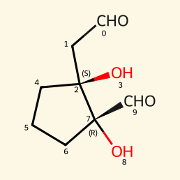 O=CC[C@@]1(O)CCC[C@]1(O)C=O